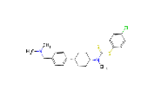 CN(C)Cc1ccc([C@H]2CC[C@H](N(C)C(=S)Sc3ccc(Cl)cc3)CC2)cc1